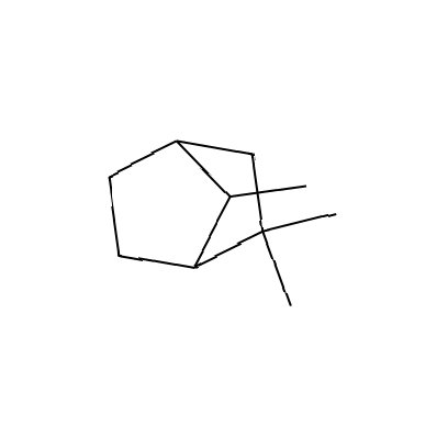 CC1C2CCC1C(C)(C)C2